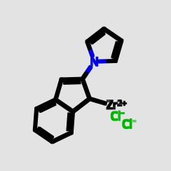 [Cl-].[Cl-].[Zr+2][CH]1C(n2cccc2)=Cc2ccccc21